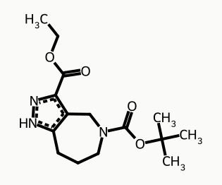 CCOC(=O)c1n[nH]c2c1CN(C(=O)OC(C)(C)C)CCC2